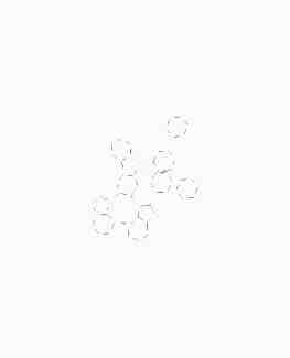 c1ccc(-c2cc(-c3ccccc3)nc(-n3c4ccccc4c4cc5c(cc43)n3c(-c4ccccc4)nc4cccc(c6cccc7ccn5c76)c43)c2)cc1